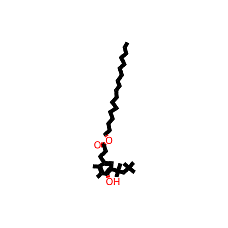 CCCCCCCCCCCCCCCCCCOC(=O)CCc1cc(C(C)(C)CC(C)(C)C)c(O)c(C)c1C